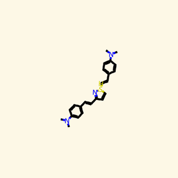 CN(C)c1ccc(C=CC2=N[SH](C=Cc3ccc(N(C)C)cc3)C=C2)cc1